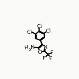 Nc1oc(C(F)(F)F)nc1-c1cc(Cl)c(Cl)c(Cl)c1